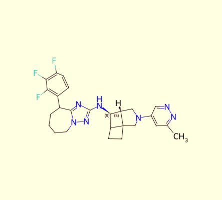 Cc1cc(N2C[C@H]3[C@H](Nc4nc5n(n4)CCCCC5c4ccc(F)c(F)c4F)C4CCC43C2)cnn1